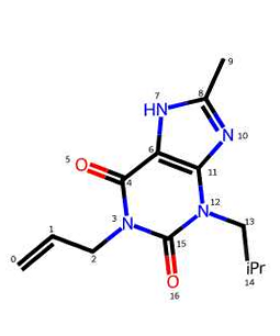 C=CCn1c(=O)c2[nH]c(C)nc2n(CC(C)C)c1=O